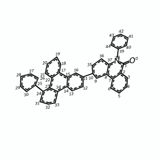 O=c1c2ccccc2c2cc(-c3ccc4c(c3)c3ccccc3c3c(-c5ccccc5)cccc43)ccc2n1-c1ccccc1